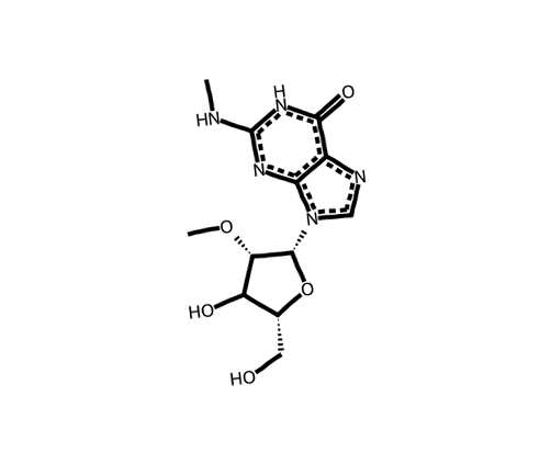 CNc1nc2c(ncn2[C@@H]2O[C@H](CO)C(O)[C@@H]2OC)c(=O)[nH]1